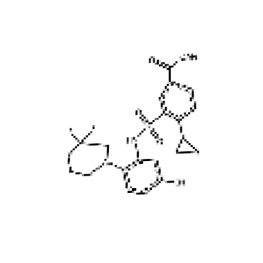 COC(=O)c1ccc(C2CC2)c(S(=O)(=O)Nc2cc(C#N)ccc2N2CCCC(F)(F)C2)c1